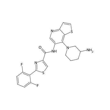 NC1CCCN(c2c(NC(=O)c3csc(-c4c(F)cccc4F)n3)cnc3ccsc23)C1